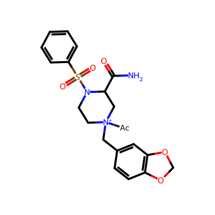 CC(=O)[N+]1(Cc2ccc3c(c2)OCO3)CCN(S(=O)(=O)c2ccccc2)C(C(N)=O)C1